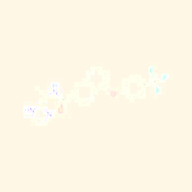 C[C@H](NC(=O)c1ccc2c(Oc3ccc(C(F)(F)F)cc3)cccc2c1)c1ncc[nH]1